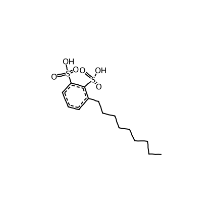 CCCCCCCCCc1cccc(S(=O)(=O)O)c1S(=O)(=O)O